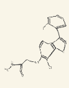 O=C(COc1ccc2c(-c3ccccc3F)noc2c1Cl)NO